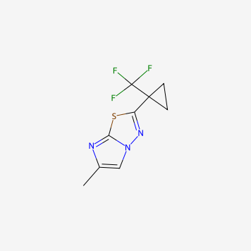 Cc1cn2nc(C3(C(F)(F)F)CC3)sc2n1